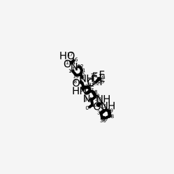 CCc1nc2[nH]c(C(=O)NC3CCN(C(=O)CO)CC3)c(OCC(F)(F)F)c2cc1NC(=O)Nc1ccccc1